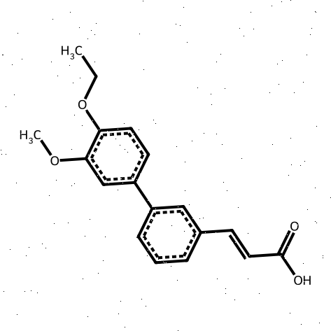 CCOc1ccc(-c2cccc(C=CC(=O)O)c2)cc1OC